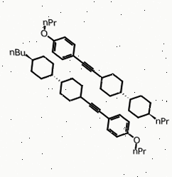 CCCC[C@H]1CC[C@H](C2CCC(C#Cc3ccc(OCCC)cc3)CC2)CC1.CCCOc1ccc(C#CC2CCC([C@H]3CC[C@H](CCC)CC3)CC2)cc1